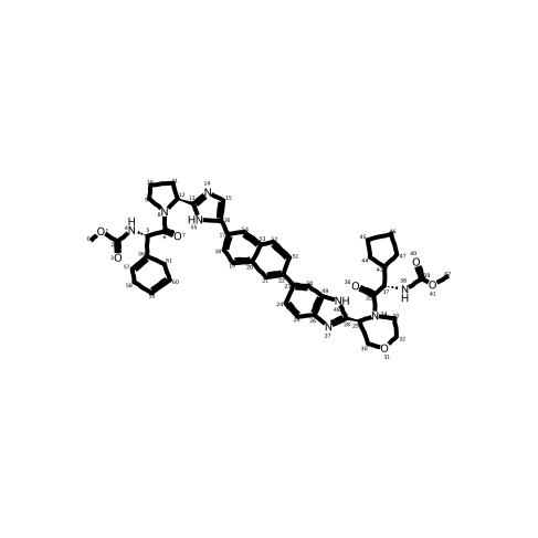 COC(=O)N[C@H](C(=O)N1CCC[C@H]1c1ncc(-c2ccc3cc(-c4ccc5nc([C@@H]6COCCN6C(=O)[C@@H](NC(=O)OC)C6CCCC6)[nH]c5c4)ccc3c2)[nH]1)C1=CCC=CC1